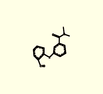 CN(C)C(=O)c1cccc(Sc2ccccc2C=O)c1